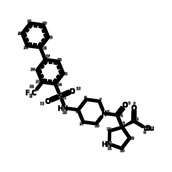 CC(C)(C)C(=O)[C@@]1(C(=O)N2CCC(NS(=O)(=O)c3ccc(-c4ccccc4)cc3C(F)(F)F)CC2)CCNC1